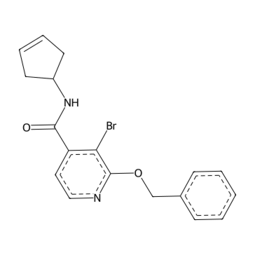 O=C(NC1CC=CC1)c1ccnc(OCc2ccccc2)c1Br